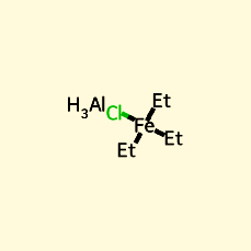 C[CH2][Fe]([Cl])([CH2]C)[CH2]C.[AlH3]